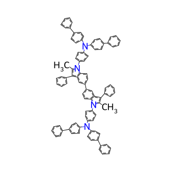 Cc1c(-c2ccccc2)c2cc(-c3ccc4c(c3)c(-c3ccccc3)c(C)n4-c3ccc(N(c4ccc(-c5ccccc5)cc4)c4ccc(-c5ccccc5)cc4)cc3)ccc2n1-c1ccc(N(c2ccc(-c3ccccc3)cc2)c2ccc(-c3ccccc3)cc2)cc1